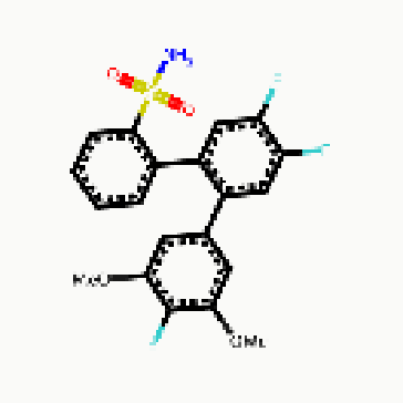 COc1cc(-c2cc(F)c(F)cc2-c2ccccc2S(N)(=O)=O)cc(OC)c1F